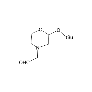 CC(C)(C)OC1CN(CC=O)CCO1